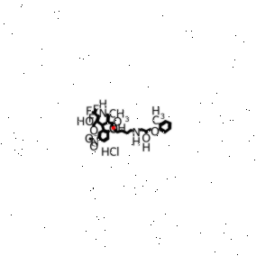 CC1=C(C(=O)O)C(c2cc([N+](=O)[O-])ccc2OCCCCNCC(O)COc2ccccc2C)C(C(=O)O)=C(C(F)(F)F)N1.Cl